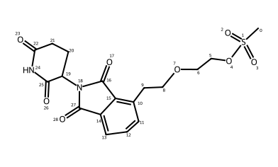 CS(=O)(=O)OCCOCCc1cccc2c1C(=O)N(C1CCC(=O)NC1=O)C2=O